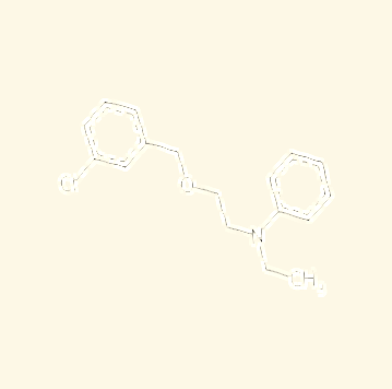 CCN(CCOCc1cccc(Cl)c1)c1ccccc1